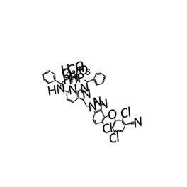 COPC(Nc1ccc2c(Cn3nnc4c(Oc5cc(Cl)cc(C#N)c5Cl)c(Cl)ccc43)nn(C(POC)c3ccccc3)c2n1)c1ccccc1